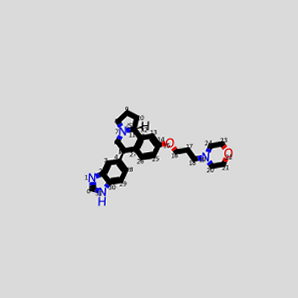 c1nc2cc([C@H]3CN4CCC[C@H]4c4cc(OCCCN5CCOCC5)ccc43)ccc2[nH]1